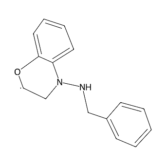 [CH]1CN(NCc2ccccc2)c2ccccc2O1